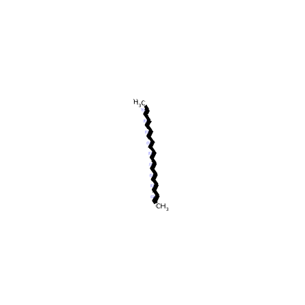 C/C=C/C=C/C=C/C=C/C=C/C=C/C=C/C=C/C=C/C